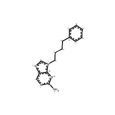 Nc1ncc2ncn(CCCCc3ccccc3)c2n1